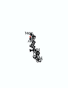 COC(=O)N[C@H](C(=O)N1[C@@H](C)CC[C@H]1c1nc(C2CC2)c(-c2ccc3c(c2)COc2cc4c(ccc5nc([C@@H]6CC[C@H](C)N6C(=O)[C@H]([C@@H](C)OC)N(C)C(=O)O)[nH]c54)cc2-3)[nH]1)[C@@H](C)OC